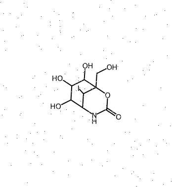 O=C1NC2C(O)C(O)C(O)C(CO)(O1)C2I